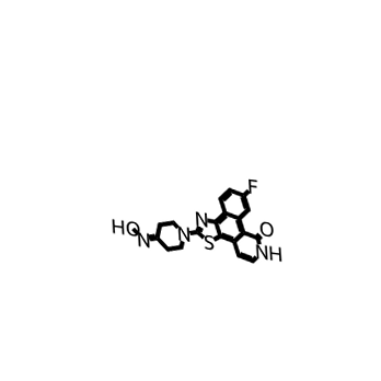 O=c1[nH]ccc2c3sc(N4CCC(=NO)CC4)nc3c3ccc(F)cc3c12